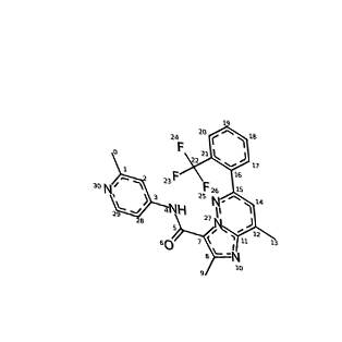 Cc1cc(NC(=O)c2c(C)nc3c(C)cc(-c4ccccc4C(F)(F)F)nn23)ccn1